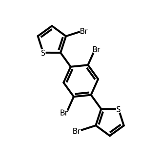 Brc1cc(-c2sccc2Br)c(Br)cc1-c1sccc1Br